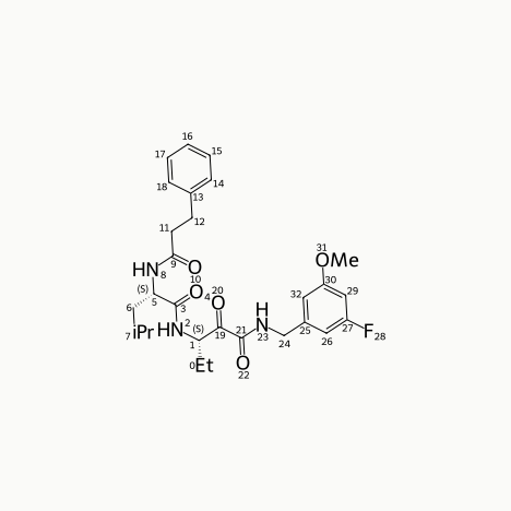 CC[C@H](NC(=O)[C@H](CC(C)C)NC(=O)CCc1ccccc1)C(=O)C(=O)NCc1cc(F)cc(OC)c1